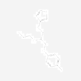 CCCOC(COc1ccc(C)cc1)CSc1ccsc1